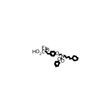 CCOC(Cc1ccc(OCCN(CCCCC2CCCCC2)C(=O)Oc2ccccc2)cc1)C(=O)O